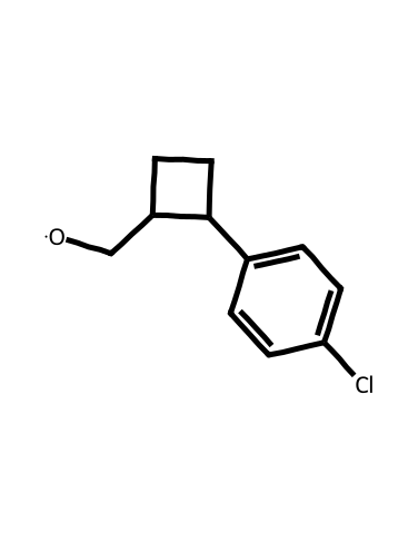 [O]CC1CCC1c1ccc(Cl)cc1